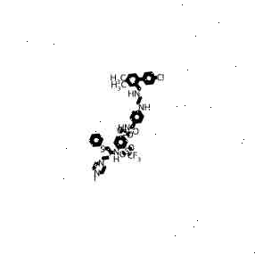 CC1(C)CCC(c2ccc(Cl)cc2)=C(CNCCNc2ccc(C(=O)NS(=O)(=O)c3ccc(N[C@H](CCN4CCN(I)CC4)CSc4ccccc4)c(S(=O)(=O)C(F)(F)F)c3)cc2)C1